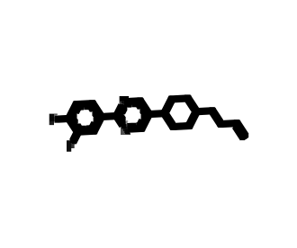 C=CCCC1CCC(c2cnc(-c3ccc(F)c(F)c3)nc2)CC1